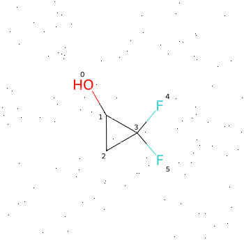 OC1CC1(F)F